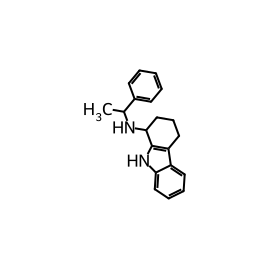 CC(NC1CCCc2c1[nH]c1ccccc21)c1ccccc1